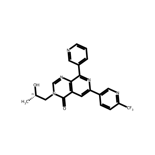 C[C@H](O)Cn1cnc2c(-c3cccnc3)nc(-c3ccc(C(F)(F)F)nc3)cc2c1=O